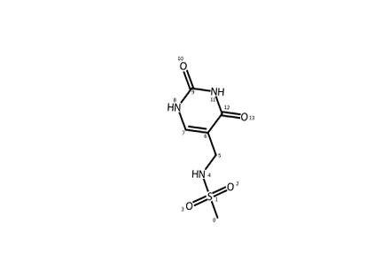 CS(=O)(=O)NCc1c[nH]c(=O)[nH]c1=O